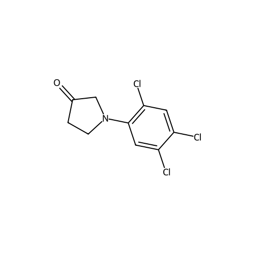 O=C1CCN(c2cc(Cl)c(Cl)cc2Cl)C1